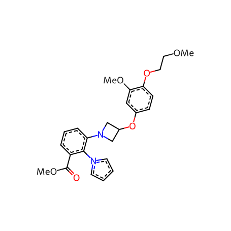 COCCOc1ccc(OC2CN(c3cccc(C(=O)OC)c3-n3cccc3)C2)cc1OC